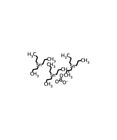 CC[CH2][Sn+]([CH2]CC)[CH2]CC.CC[CH2][Sn+]([CH2]CC)[CH2]CC.CC[CH2][Sn+]([CH2]CC)[CH2]CC.[O-]B([O-])[O-]